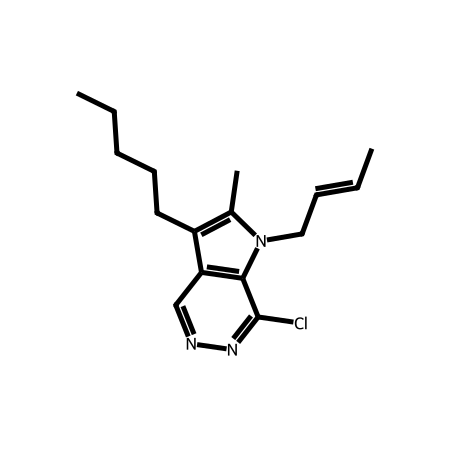 CC=CCn1c(C)c(CCCCC)c2cnnc(Cl)c21